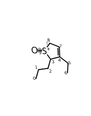 CCCC1C(CC)=C[C][S+]1[O-]